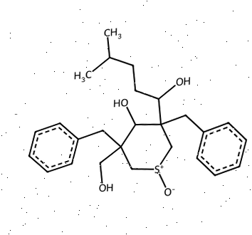 CC(C)CCC(O)C1(Cc2ccccc2)C[S+]([O-])CC(CO)(Cc2ccccc2)C1O